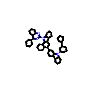 C1=Cc2c(c(-c3ccc4c5ccccc5n(-c5cccc(-c6ccccc6)c5)c4c3)cc3c4ccccc4n(-c4nc(-c5ccccc5)c5ccccc5n4)c23)CC1